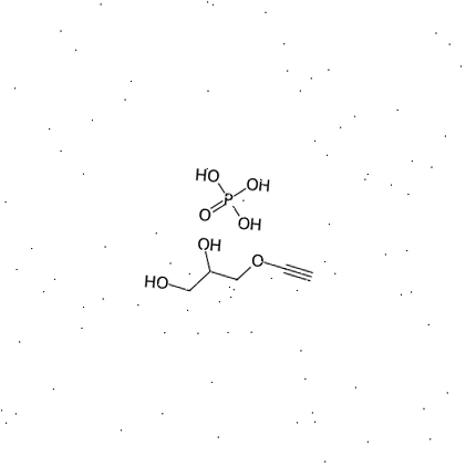 C#COCC(O)CO.O=P(O)(O)O